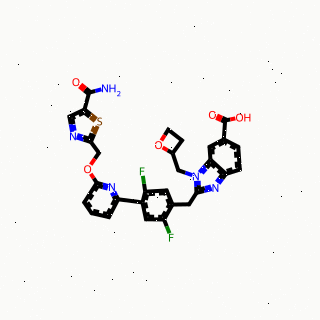 NC(=O)c1cnc(COc2cccc(-c3cc(F)c(Cc4nc5ccc(C(=O)O)cc5n4CC4CCO4)cc3F)n2)s1